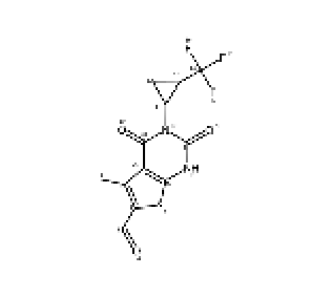 Cc1c(C=O)sc2[nH]c(=O)n(C3CC3C(F)(F)F)c(=O)c12